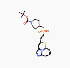 CC(C)(C)OC(=O)N1CCC(CS(=O)(=O)C=CC2=Cc3cnc4cccc(n34)S2)CC1